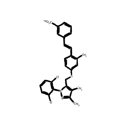 Cc1cc(OCc2c(C)c(C)nn2-c2c(Cl)cccc2Cl)ccc1/C=C/c1cccc(C(=O)O)c1